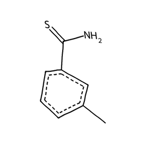 Cc1cccc(C(N)=S)c1